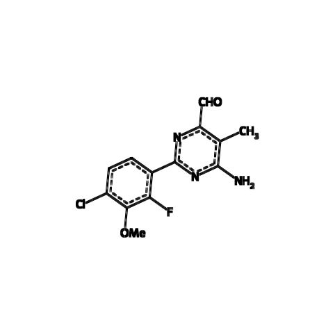 COc1c(Cl)ccc(-c2nc(N)c(C)c(C=O)n2)c1F